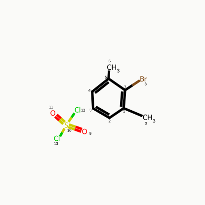 Cc1cccc(C)c1Br.O=S(=O)(Cl)Cl